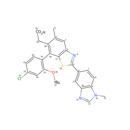 Cc1cc2nc(-c3ccc4c(c3)ncn4C)sc2c(-c2ccc(Cl)cc2OC(C)(C)C)c1CC(=O)O